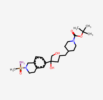 CC(C)(C)OC(=O)N1CCC(CCCC(O)(CO)c2ccc3c(c2)CCN([SH](C)(=O)P)C3)CC1